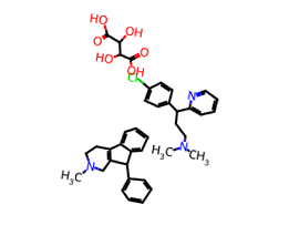 CN(C)CCC(c1ccc(Cl)cc1)c1ccccn1.CN1CCC2=C(C1)C(c1ccccc1)c1ccccc12.O=C(O)C(O)C(O)C(=O)O